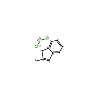 CC1=Cc2ccccc2[CH]1.[Cl][Cr][Cl]